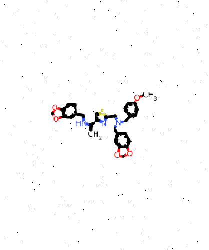 C=C(NCc1ccc2c(c1)OCO2)c1csc(CN(Cc2ccc(OC)cc2)Cc2ccc3c(c2)OCO3)n1